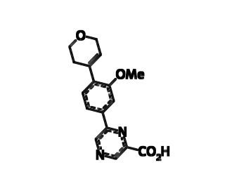 COc1cc(-c2cncc(C(=O)O)n2)ccc1C1=CCOCC1